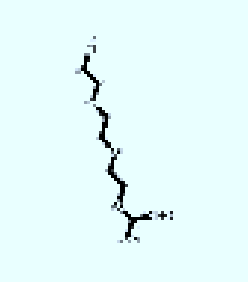 CCCC(C=O)OCCOCCOCCCl